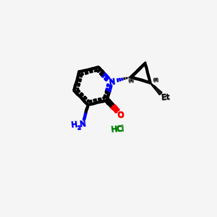 CC[C@@H]1C[C@H]1n1cccc(N)c1=O.Cl